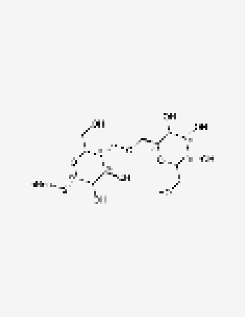 CCCCCCCCCS[C@@H]1OC(CO)[C@H](COC[C@@H]2OC(CO)[C@@H](O)[C@@H](O)C2O)[C@@H](O)C1O